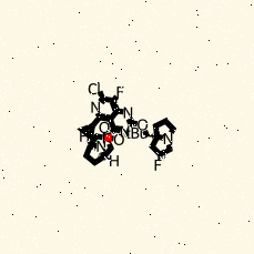 CC(C)(C)OC(=O)N1[C@@H]2CC[C@H]1CN(c1nc(OC[C@@]34CCCN3C[C@H](F)C4)nc3c(F)c(Cl)nc(C4CC4)c13)C2